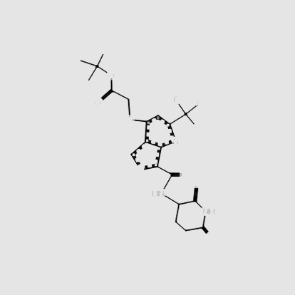 CC(C)(C)OC(=O)COc1cc(C(F)(F)F)nc2c(C(=O)NC3CCC(=O)NC3=O)scc12